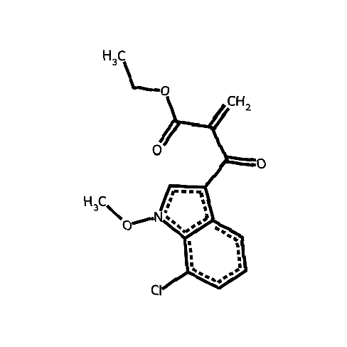 C=C(C(=O)OCC)C(=O)c1cn(OC)c2c(Cl)cccc12